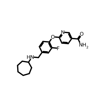 NC(=O)c1ccc(Oc2ccc(CNC3CCCCCC3)cc2F)nc1